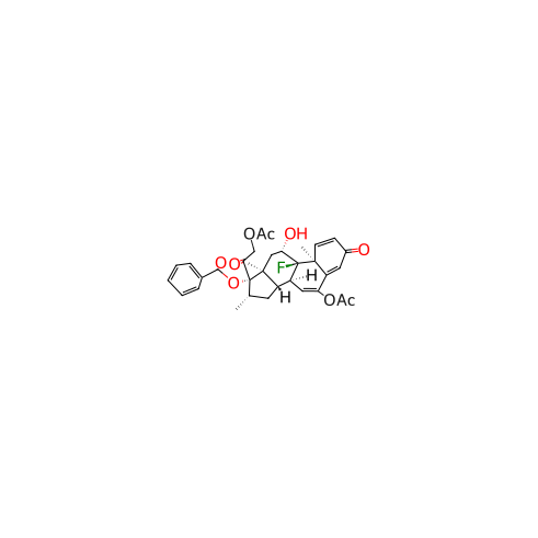 CC(=O)OCC(=O)[C@]1(OC(=O)c2ccccc2)[C@@H](C)C[C@H]2[C@@H]3C=C(OC(C)=O)C4=CC(=O)C=C[C@]4(C)[C@@]3(F)[C@@H](O)C[C@@]21C